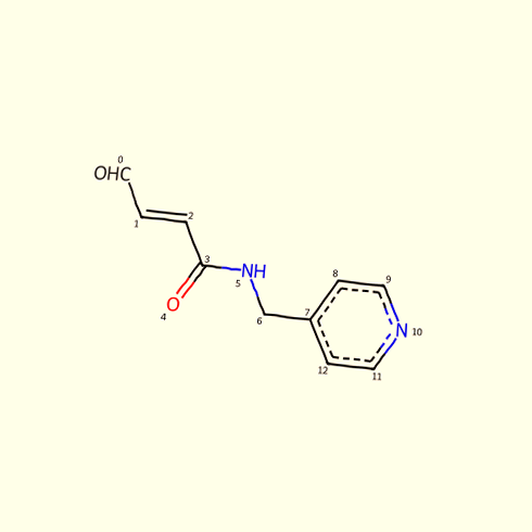 O=CC=CC(=O)NCc1ccncc1